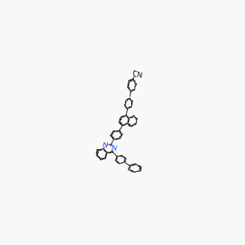 N#Cc1ccc(-c2ccc(-c3ccc(-c4ccc(-c5nc(-c6ccc(-c7ccccc7)cc6)c6ccccc6n5)cc4)c4ccccc34)cc2)cc1